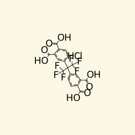 Cl.O=C(O)c1ccc(C(c2ccc(C(=O)O)c(C(=O)O)c2)(C(F)(F)F)C(F)(F)F)cc1C(=O)O